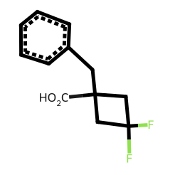 O=C(O)C1(Cc2ccccc2)CC(F)(F)C1